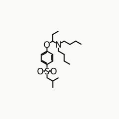 CCCCN(CCCC)C(CC)Oc1ccc(S(=O)(=O)CC(C)C)cc1